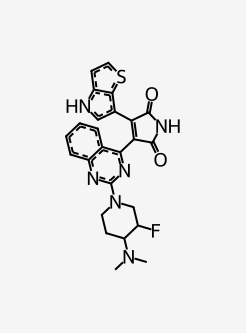 CN(C)C1CCN(c2nc(C3=C(c4c[nH]c5ccsc45)C(=O)NC3=O)c3ccccc3n2)CC1F